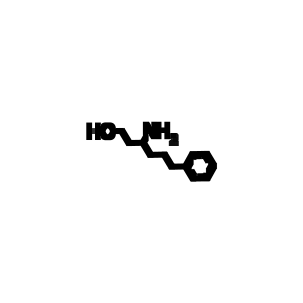 NC(CCO)CCCc1ccccc1